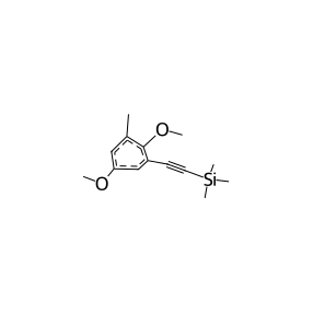 COc1cc(C)c(OC)c(C#C[Si](C)(C)C)c1